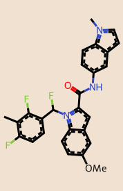 COc1ccc2c(c1)cc(C(=O)Nc1ccc3c(ccn3C)c1)n2C(F)c1ccc(F)c(C)c1F